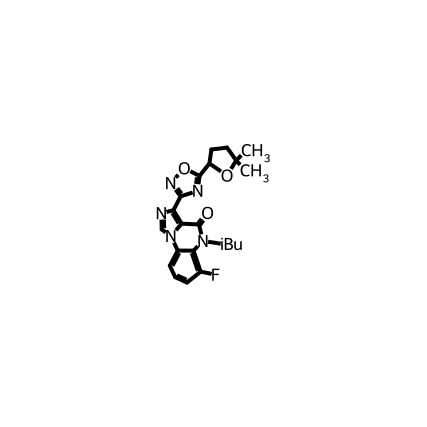 CCC(C)n1c(=O)c2c(-c3noc(C4CCC(C)(C)O4)n3)ncn2c2cccc(F)c21